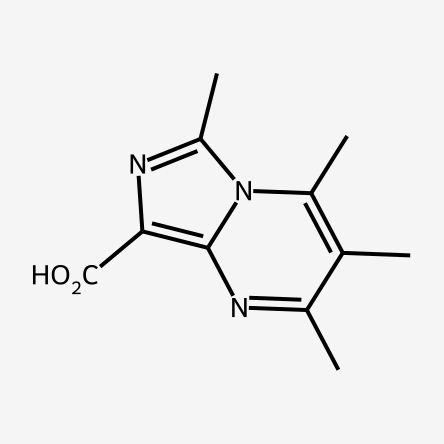 Cc1nc2c(C(=O)O)nc(C)n2c(C)c1C